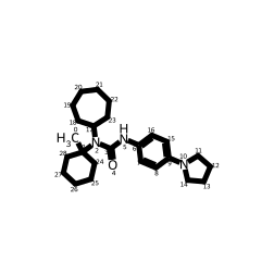 CC1(N(C(=O)Nc2ccc(N3CCCC3)cc2)C2CCCCCC2)CCCCC1